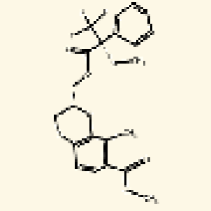 COC(=O)c1ccc2c(c1C)O[C@@H](COC(=O)[C@](OC)(c1ccccc1)C(F)(F)F)CO2